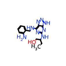 CCC(CO)Nc1nc(NCc2ccccc2N)c2nn[nH]c2n1